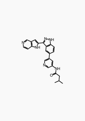 CC(C)CC(=O)Nc1cncc(-c2ccc3[nH]nc(-c4cc5cnccc5[nH]4)c3c2)c1